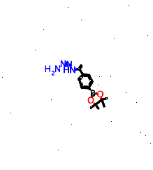 C=C(N/N=N\N)c1ccc(B2OC(C)(C)C(C)(C)O2)cc1